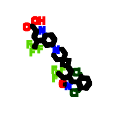 O=C(O)c1cc(C(F)(F)F)c2cc(N3CCC4(CC3)CC(=Cc3c(-c5c(Cl)cccc5Cl)noc3C(F)(F)F)C4)ccc2n1